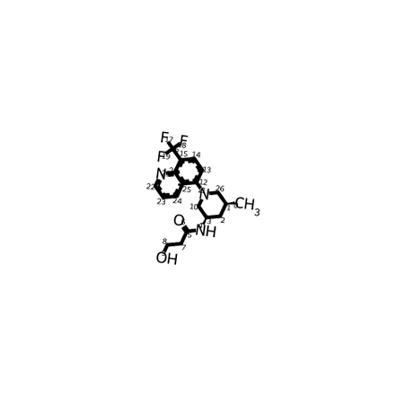 C[C@H]1C[C@@H](NC(=O)CCO)CN(c2ccc(C(F)(F)F)c3ncccc23)C1